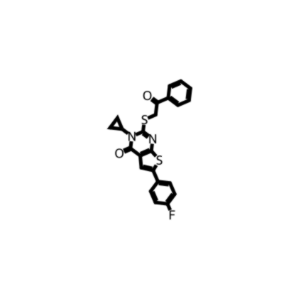 O=C(CSc1nc2sc(-c3ccc(F)cc3)cc2c(=O)n1C1CC1)c1ccccc1